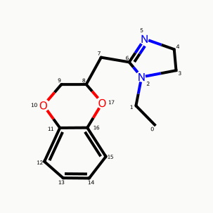 CCN1CCN=C1CC1COc2ccccc2O1